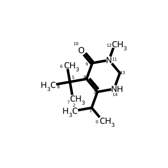 CC(C)C1=C(C(C)(C)C)C(=O)N(C)CN1